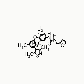 Cc1cc(Oc2c(C)cc(NC(=O)NCC3CCCO3)cc2C)cc(-c2c(C)noc2C)c1